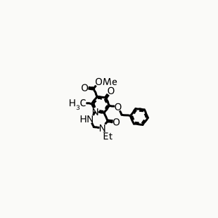 CCN1CNn2c(C)c(C(=O)OC)c(=O)c(OCc3ccccc3)c2C1=O